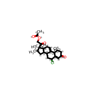 CC(=O)OCC(=O)[C@@]1(C)[C@H](C)CC2C3CC(Cl)C4=CC(=O)CC[C@]4(C)C3=CC[C@@]21C